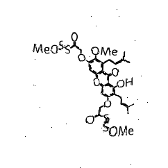 COSSC(=O)COc1cc2oc3cc(OCC(=O)SSOC)c(OC)c(CC=C(C)C)c3c(=O)c2c(O)c1CC=C(C)C